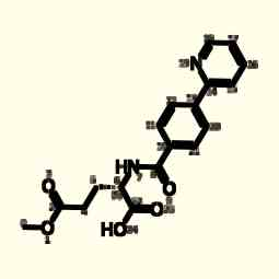 COC(=O)CC[C@H](NC(=O)c1ccc(-c2ccccn2)cc1)C(=O)O